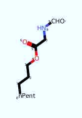 CCCCCCCCOC(=O)CN[C]=O